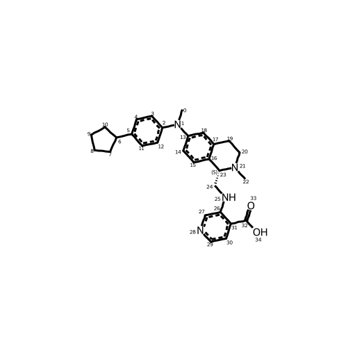 CN(c1ccc(C2CCCC2)cc1)c1ccc2c(c1)CCN(C)[C@@H]2CNc1cnccc1C(=O)O